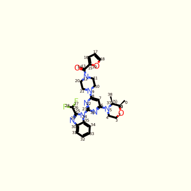 C[C@H]1OCCN(c2cc(N3CCN(C(=O)c4ccco4)CC3)nc(-n3c(C(F)F)nc4ccccc43)n2)[C@H]1C